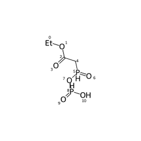 [CH2]COC(=O)C[PH](=O)O[PH](=O)O